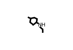 CCCNC1CCC(C)CC1